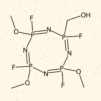 COP1(F)=NP(F)(CO)=NP(F)(OC)=NP(F)(OC)=N1